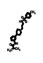 Cc1ccc(S(=O)(=O)NCCCN2CCC(c3cccc(NC(=O)C(C)C)c3)CC2)cc1